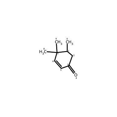 CC1CC(=O)C=CC1(C)C